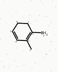 BC1=C(C)C=CCC1